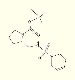 CC(C)(C)OC(=O)N1CCC[C@H]1CNS(=O)(=O)c1ccccc1